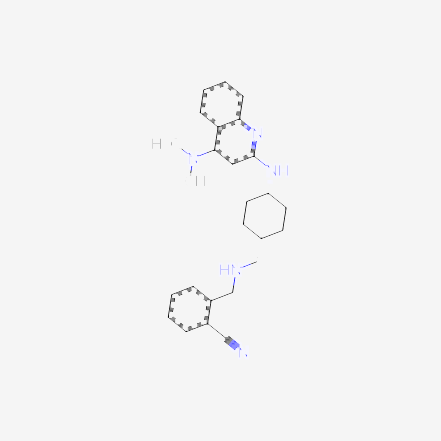 CN(C)c1cc(N[C@H]2CC[C@@H](CNCc3ccccc3C#N)CC2)nc2ccccc12